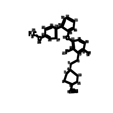 CCCC[C@H]1CC[C@H](CCc2c(F)c[c]c(Oc3ccccc3-c3ccc(OC(F)(F)F)cc3)c2F)CC1